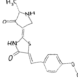 COc1ccc(/C=c2\s/c(=C3\CNC(C)C3=O)[nH]c2=O)cc1